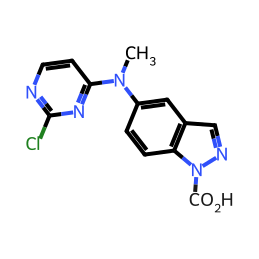 CN(c1ccc2c(cnn2C(=O)O)c1)c1ccnc(Cl)n1